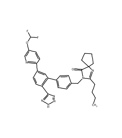 CCCCC1=NC2(CCCC2)C(=O)N1Cc1ccc(-c2cc(-c3ccc(OC(F)F)cn3)ccc2-c2nn[nH]n2)cc1